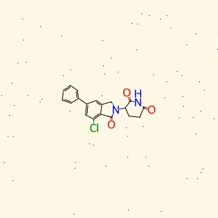 O=C1CCC(N2Cc3cc(-c4ccccc4)cc(Cl)c3C2=O)C(=O)N1